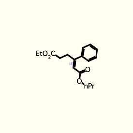 CCCOC(=O)/C=C(/CCC(=O)OCC)c1ccccc1